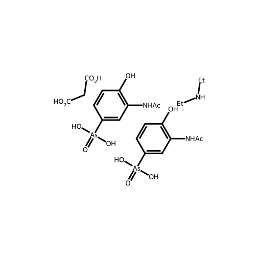 CC(=O)Nc1cc([As](=O)(O)O)ccc1O.CC(=O)Nc1cc([As](=O)(O)O)ccc1O.CCNCC.O=C(O)CC(=O)O